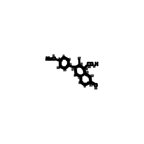 COc1ccc(-n2cc3ccc(=O)cc-3c(C(=O)O)c2C)cc1